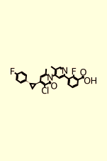 Cc1cnc(-c2cccc(C(=O)O)c2F)cc1-n1c(C)cc([C@H]2C[C@@H]2c2ccc(F)cc2)c(Cl)c1=O